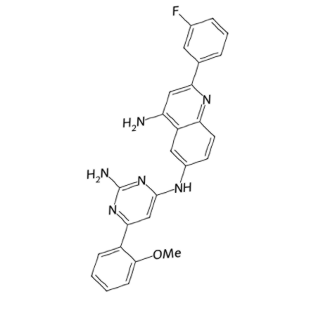 COc1ccccc1-c1cc(Nc2ccc3nc(-c4cccc(F)c4)cc(N)c3c2)nc(N)n1